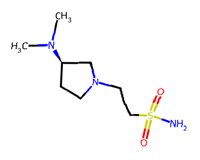 CN(C)[C@@H]1CCN(CCS(N)(=O)=O)C1